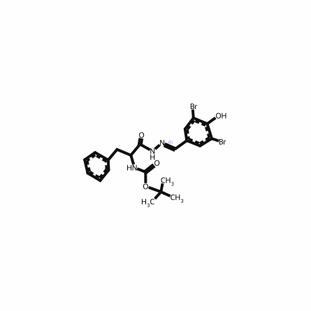 CC(C)(C)OC(=O)NC(Cc1ccccc1)C(=O)N/N=C/c1cc(Br)c(O)c(Br)c1